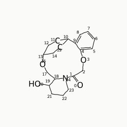 O=C1COc2ccccc2C2CCC(CC2)OCC2C(O)CCCN12